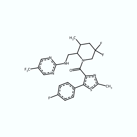 Cc1nc(C(=O)N2CC(F)(F)CC(C)C2CNc2ncc(C(F)(F)F)cn2)c(-c2ccc(F)cc2)s1